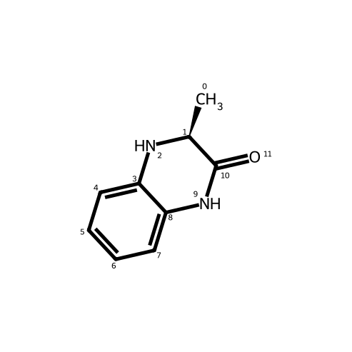 C[C@@H]1Nc2ccccc2NC1=O